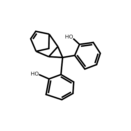 Oc1ccccc1C1(c2ccccc2O)C2C3C=CC(C3)C21